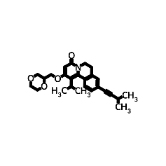 CC(C)C#Cc1ccc2c(c1)CCn1c-2c(C(C)C)c(OCC2COCCO2)cc1=O